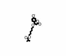 C=C(C)C(=O)OCCCCCCOc1cc(=O)oc2cc(OC)ccc12